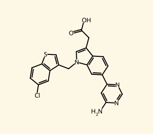 Nc1cc(-c2ccc3c(CC(=O)O)cn(Cc4csc5ccc(Cl)cc45)c3c2)ncn1